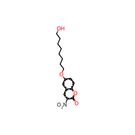 O=c1oc2ccc(OCCCCCCCCO)cc2cc1[N+](=O)[O-]